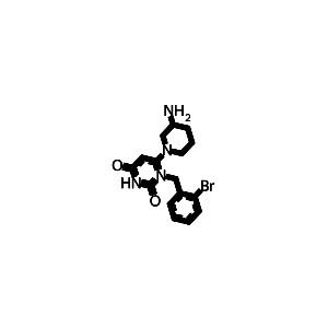 NC1CCCN(c2cc(=O)[nH]c(=O)n2Cc2ccccc2Br)C1